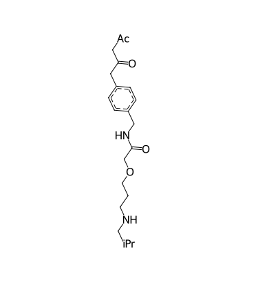 CC(=O)CC(=O)Cc1ccc(CNC(=O)COCCCNCC(C)C)cc1